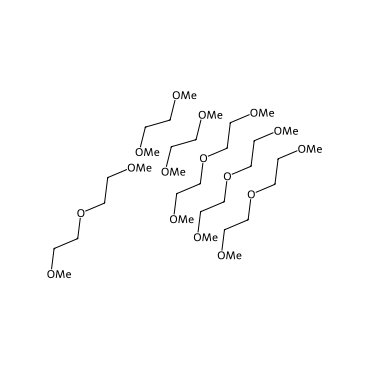 COCCOC.COCCOC.COCCOCCOC.COCCOCCOC.COCCOCCOC.COCCOCCOC